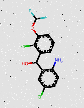 Nc1ccc(Cl)cc1C(O)c1cccc(OC(F)F)c1Cl